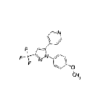 COc1ccc(-n2nc(C(F)(F)F)cc2-c2ccncc2)cc1